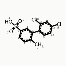 Cc1ccc(S(=O)(=O)O)cc1-c1ccc(Cl)cc1Cl